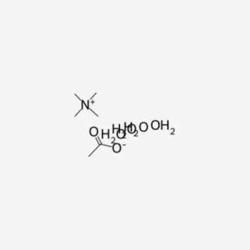 CC(=O)[O-].C[N+](C)(C)C.O.O.O.O